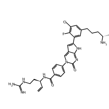 C=C[C@@H](CCNC(=N)N)NC(=O)c1ccc(-n2cc3cc(-c4cc(CCC[C@H](C)N)cc(Cl)c4F)[nH]c3nc2=O)cc1